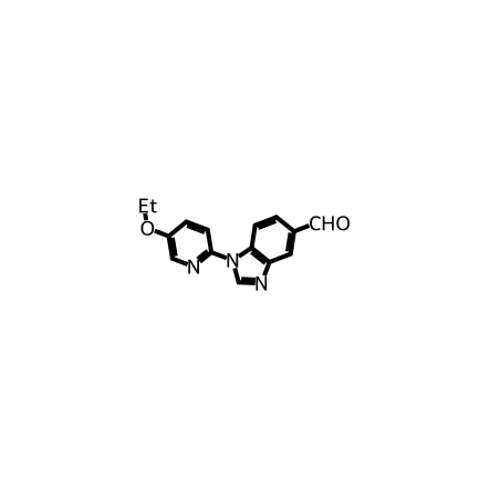 CCOc1ccc(-n2cnc3cc(C=O)ccc32)nc1